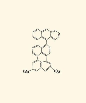 CC(C)(C)c1cc2cc(C(C)(C)C)cc3c4ccc(-c5c6ccccc6cc6ccccc56)c5cccc(c(c1)c23)c54